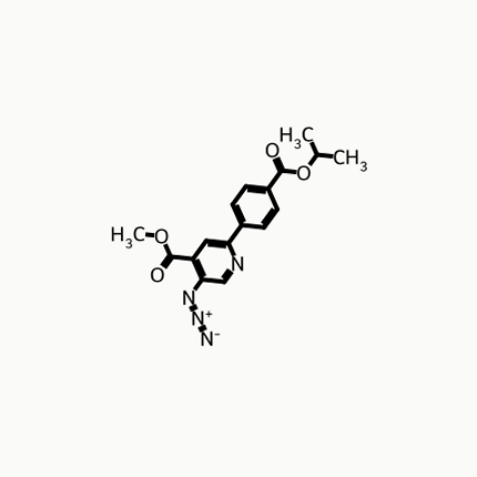 COC(=O)c1cc(-c2ccc(C(=O)OC(C)C)cc2)ncc1N=[N+]=[N-]